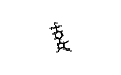 Cc1c(-c2ccc(C(F)(F)F)nc2)nn(C)c1N